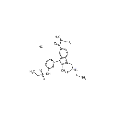 CCS(=O)(=O)Nc1cccc(-c2c(C)n(C/C(F)=C/CN)c3ccc(C(=O)N(C)C)cc23)c1.Cl